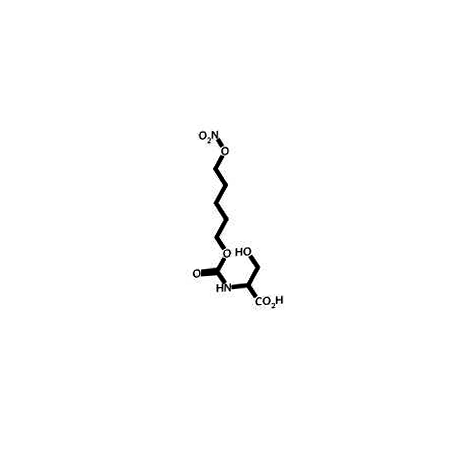 O=C(NC(CO)C(=O)O)OCCCCCO[N+](=O)[O-]